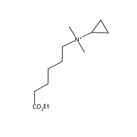 CCOC(=O)CCCCC[N+](C)(C)C1CC1